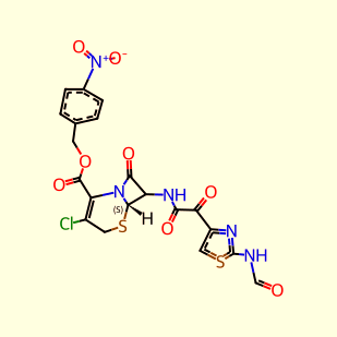 O=CNc1nc(C(=O)C(=O)NC2C(=O)N3C(C(=O)OCc4ccc([N+](=O)[O-])cc4)=C(Cl)CS[C@@H]23)cs1